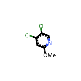 COc1cc(Cl)c(Cl)cn1